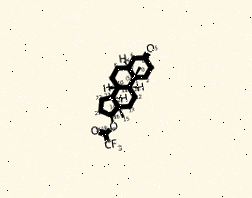 C[C@]12CCC(=O)C[C@@H]1CC[C@@H]1[C@@H]2CC[C@]2(C)[C@@H](OC(=O)C(F)(F)F)CC[C@@H]12